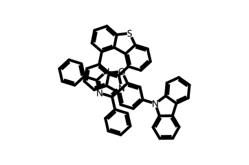 c1ccc(-c2nc(-c3ccccc3)nc(-c3cccc4sc5cccc(-c6cccc7c6oc6cc(-n8c9ccccc9c9ccccc98)ccc67)c5c34)n2)cc1